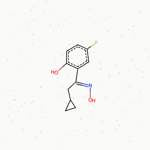 ON=C(CC1CC1)c1cc(F)ccc1O